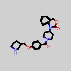 O=C(c1ccc(OCC2CCCNC2)cc1)N1CCC(N2C(=O)OCc3ccccc32)CC1